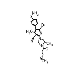 COCCC(=O)N1CCN(c2nc(C3CC3)c(-c3ccc(SN)cc3)c(C)c2C#N)CC1C